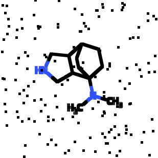 CN(C)C12CCC(CC1)C1CNCC12